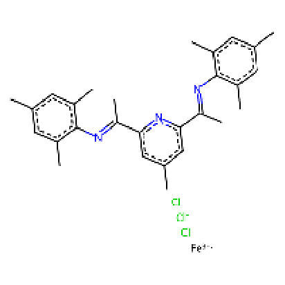 CC(=Nc1c(C)cc(C)cc1C)c1cc(C)cc(C(C)=Nc2c(C)cc(C)cc2C)n1.[Cl-].[Cl-].[Cl-].[Fe+3]